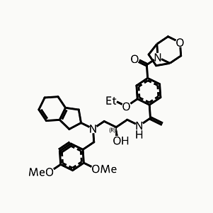 C=C(NC[C@@H](O)CN(Cc1c#cc(OC)cc1OC)C1CC2=C(CCC=C2)C1)c1ccc(C(=O)N2C3CCC2COC3)cc1OCC